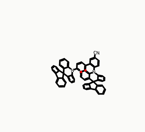 N#Cc1ccc(N2c3ccccc3C3(c4ccccc4-c4ccccc43)c3ccccc32)c(-c2ccc(N3c4ccccc4C4(c5ccccc5-c5ccccc54)c4ccccc43)nc2)c1